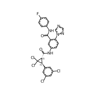 O=C(Nc1ccc(F)cc1)c1cc(NC(=O)[C@@H]2[C@@H](c3cc(Cl)cc(Cl)c3)C2(Cl)Cl)ccc1-n1cncn1